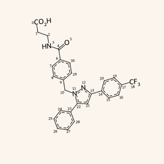 O=C(O)CCNC(=O)c1ccc(Cn2nc(-c3ccc(C(F)(F)F)cc3)cc2-c2ccccc2)cc1